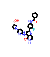 O=C(Nc1ccc(-c2cc(Nc3ccc(N4CC[C@H](CO)C4)cn3)c3c(=O)[nH]ccc3n2)c(F)c1)C1CCCCC1